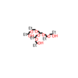 CCC(O)COC(CC)COCC(COCC(CC)OCC(O)CC)OCC(CC)OCC(O)CC